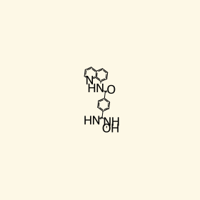 N=C(NO)c1ccc(C(=O)Nc2cccc3cccnc23)cc1